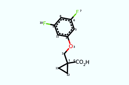 O=C(O)C1(COc2cc(F)cc(F)c2)CC1